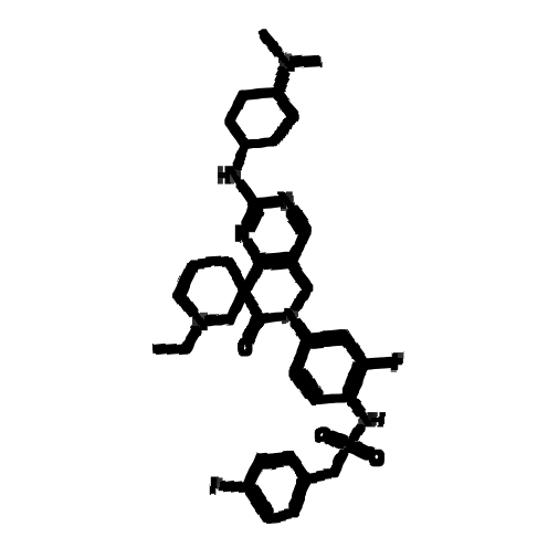 CCN1CCCC2(C1)C(=O)N(c1ccc(NS(=O)(=O)Cc3ccc(F)cc3)c(F)c1)Cc1cnc(NC3CCC(N(C)C)CC3)nc12